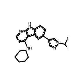 FC(F)n1cc(-c2ccc3[nH]c4ncnc(NC5CCCCC5)c4c3c2)cn1